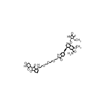 CC[C@@H]1[C@H](F)C(=O)N[C@@H]1COc1ncc(C#Cc2ccc(C(=O)NCCOCCOCCOCCNc3cccc4c3C(=O)N(C3CCC(=O)NC3=O)C4=O)cc2)c2cc(C(N)=O)c(OC)cc12